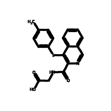 Cc1ccc(Sc2c(C(=O)NCC(=O)O)ncc3ccccc23)cc1